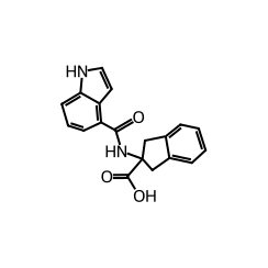 O=C(NC1(C(=O)O)Cc2ccccc2C1)c1cccc2[nH]ccc12